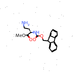 COC(=O)[C@@H](CCN)NC(=O)OCC1c2ccccc2-c2ccccc21